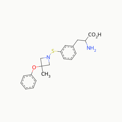 CC1(Oc2ccccc2)CN(Sc2cccc(CC(N)C(=O)O)c2)C1